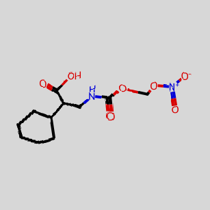 O=C(NCC(C(=O)O)C1CCCCC1)OCO[N+](=O)[O-]